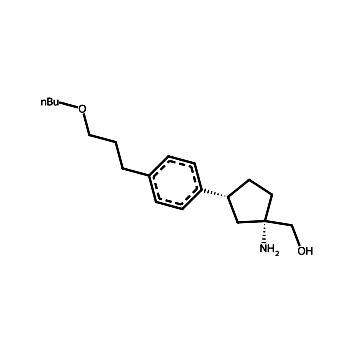 CCCCOCCCc1ccc([C@@H]2CC[C@@](N)(CO)C2)cc1